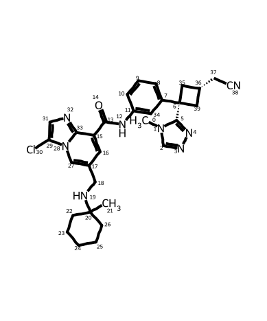 Cn1cnnc1[C@]1(c2cccc(NC(=O)c3cc(CNC4(C)CCCCC4)cn4c(Cl)cnc34)c2)C[C@H](CC#N)C1